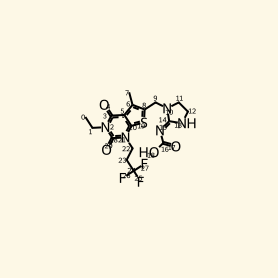 CCn1c(=O)c2c(C)c(CN3CCN/C3=N\C(=O)O)sc2n(CCC(F)(F)F)c1=O